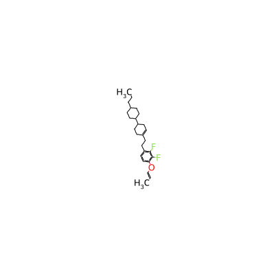 C/C=C/Oc1ccc(CCC2=CCC(C3CCC(CCC)CC3)CC2)c(F)c1F